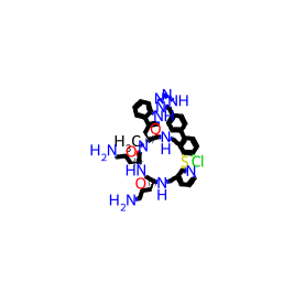 CN1C(=O)[C@H](CCCN)NC(=O)[C@H](CCCN)NCc2cccnc2Sc2c(Cl)ccc(-c3ccc(-c4nnn[nH]4)cc3)c2CNC(=O)[C@@H]1Cc1c[nH]c2ccccc12